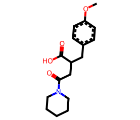 COc1ccc(CC(CC(=O)N2CCCCC2)C(=O)O)cc1